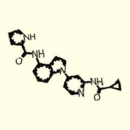 O=C(Nc1cccc2c1ccn2-c1ccnc(NC(=O)C2CC2)c1)c1ccc[nH]1